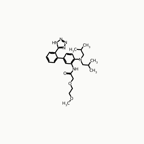 COCCOCC(=O)Nc1cc(-c2ccccc2-c2nnn[nH]2)ccc1N(CC(C)C)CC(C)C